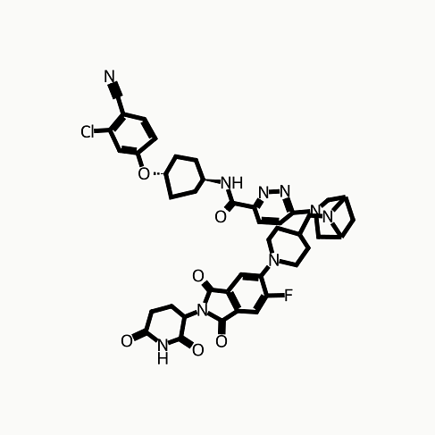 N#Cc1ccc(O[C@H]2CC[C@H](NC(=O)c3ccc(N4CC5CC(C4)N5CC4CCN(c5cc6c(cc5F)C(=O)N(C5CCC(=O)NC5=O)C6=O)CC4)nn3)CC2)cc1Cl